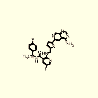 C[C@H](NC(=O)c1cc(F)cnc1NCc1ccc(-c2cc3c(N)ncnc3cn2)s1)c1ccc(F)cc1